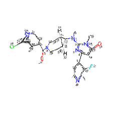 CN(c1nc(-c2ccncc2F)cc(=O)n1C)C1[C@H]2CN(C(=O)c3ccnc(Cl)c3)C[C@@H]12